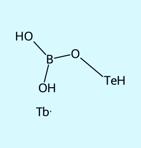 OB(O)O[TeH].[Tb]